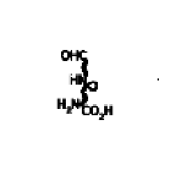 N[C@@H](CCC(=O)NCCCC=O)C(=O)O